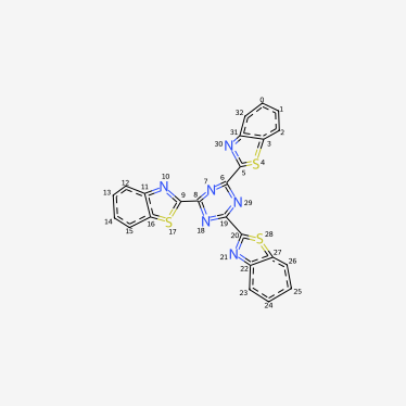 c1ccc2sc(-c3nc(-c4nc5ccccc5s4)nc(-c4nc5ccccc5s4)n3)nc2c1